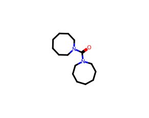 O=C(N1CCCCCCC1)N1CCCCCCC1